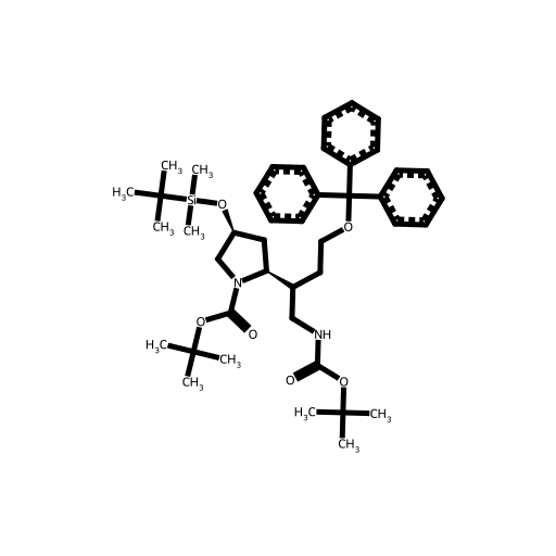 CC(C)(C)OC(=O)NCC(CCOC(c1ccccc1)(c1ccccc1)c1ccccc1)[C@@H]1C[C@H](O[Si](C)(C)C(C)(C)C)CN1C(=O)OC(C)(C)C